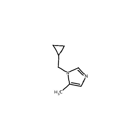 Cc1cncn1CC1CC1